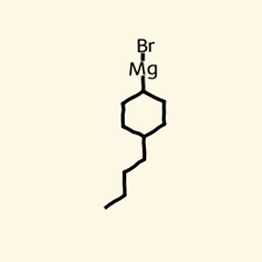 CCCCC1CC[CH]([Mg][Br])CC1